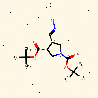 CC(C)(C)OC(=O)[C@H]1CN(C(=O)OC(C)(C)C)C[C@@H]1/C=N/O